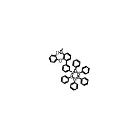 CB1Oc2ccccc2Oc2c1cccc2-c1cccc(N2B(c3ccccc3)N(c3ccccc3)B(c3ccccc3)N(c3ccccc3)B2c2ccccc2)c1